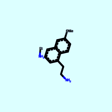 CCN.COc1ccc2c(CCN)cccc2c1